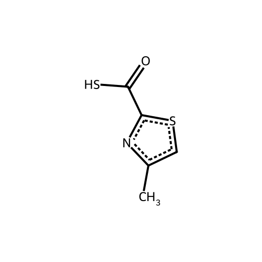 Cc1csc(C(=O)S)n1